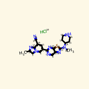 Cc1cn2cc(-c3ncc4nc(N(C)C5CCNCC5)sc4n3)cc(C#N)c2n1.Cl